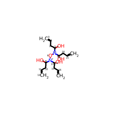 C=CCC(O)N(ON(C(O)CC=C)C(O)CC=C)C(O)CC=C